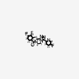 Cc1c(C(=O)N2CCn3c(nnc3-c3ccc(F)cn3)C2)ccc(F)c1F